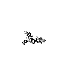 CC(NC(=O)N(Cc1ccc(C(O)Cc2nn[nH]n2)cc1)c1ccc2c(c1)CCC2)c1ccc(Cl)cc1